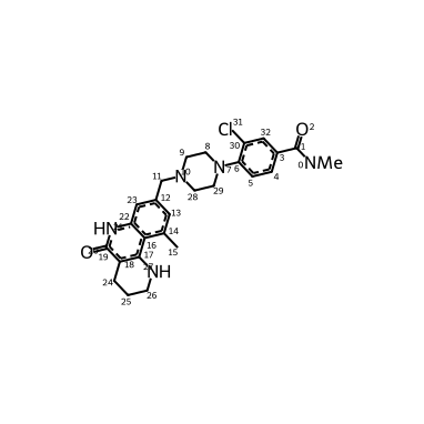 CNC(=O)c1ccc(N2CCN(Cc3cc(C)c4c5c(c(=O)[nH]c4c3)CCCN5)CC2)c(Cl)c1